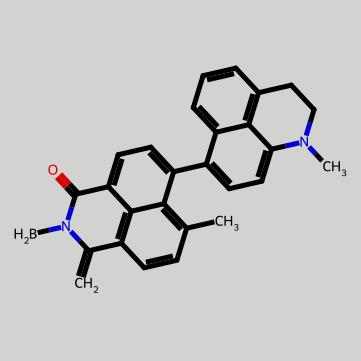 Bn1c(=C)c2ccc(C)c3c(-c4ccc5c6c(cccc46)CCN5C)ccc(c1=O)c32